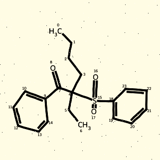 CCCCC(CC)(C(=O)c1ccccc1)S(=O)(=O)c1ccccc1